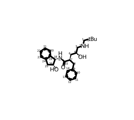 CC(C)(C)CNC[C@@H](O)C[C@@H](Cc1ccccc1)C(=O)N[C@H]1c2ccccc2C[C@H]1O